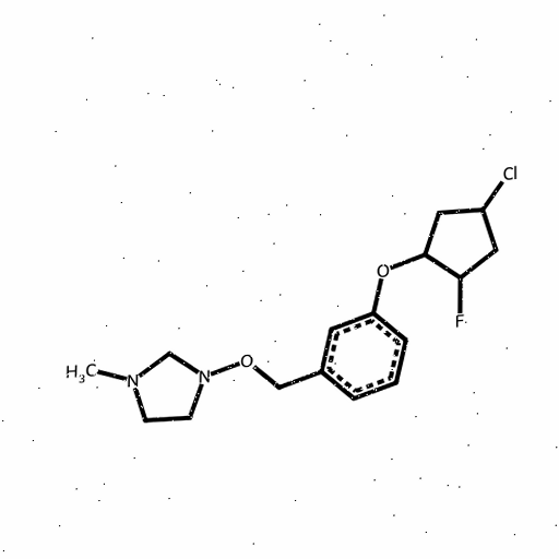 CN1CCN(OCc2cccc(OC3CC(Cl)CC3F)c2)C1